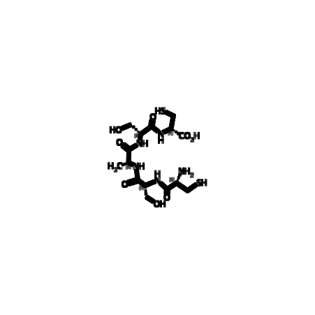 C[C@@H](NC(=O)[C@@H](CO)NC(=O)[C@H](N)CS)C(=O)N[C@H](CO)C(=O)N[C@H](CS)C(=O)O